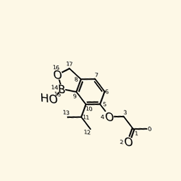 CC(=O)COc1ccc2c(c1C(C)C)B(O)OC2